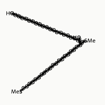 CSCCOCCOCCOCCOCCOCCOCCOCCOCCOCCOCCOCCOCCOCCOCCOCCOCCOCCOCCOCCOC(COCCSC)SSC(CO)OCCOCCOCCOCCOCCOCCOCCOCCOCCOCCOCCOCCOCCOCCOCCOCCOCCOCCOCCO